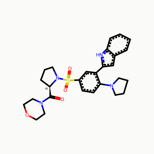 O=C([C@H]1CCCN1S(=O)(=O)c1ccc(N2CCCC2)c(-c2cc3ccccc3[nH]2)c1)N1CCOCC1